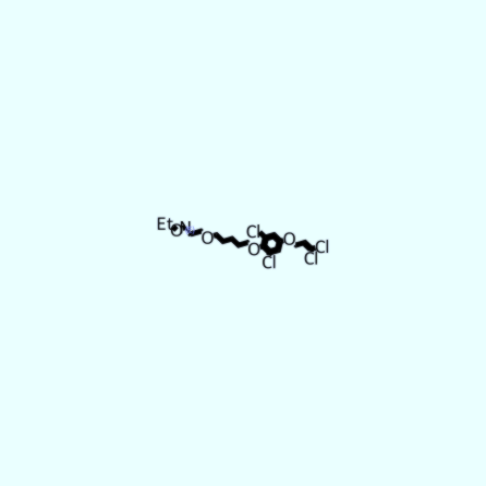 CCO/N=C/COCCCCCOc1c(Cl)cc(OCC=C(Cl)Cl)cc1Cl